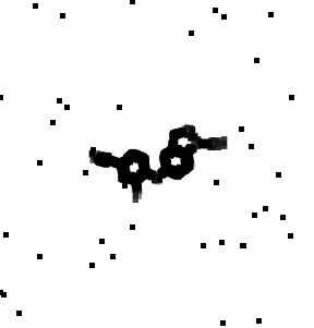 N#Cc1ccc(Oc2ccc3c(c2)COB3O)c(F)c1